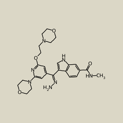 CNC(=O)c1ccc2c(C(=NN)c3cc(OCCN4CCOCC4)nc(N4CCOCC4)c3)c[nH]c2c1